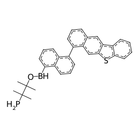 CC(C)(P)C(C)(C)OBc1cccc2c(-c3cccc4cc5c(cc34)sc3ccccc35)cccc12